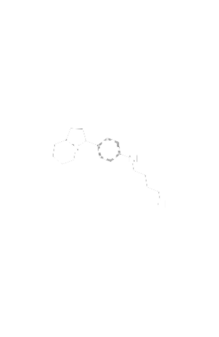 ClCCCCNc1ccc(C2CCC3CCCCN32)cc1